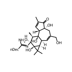 CCCCCCCCCCC(N)=N[C@@]1(O)[C@@H](C)[C@@]2(O)[C@@H](C=C(CO)C[C@]3(O)C(=O)C(C)=C[C@@H]23)[C@H]2C(C)(C)[C@@]21O